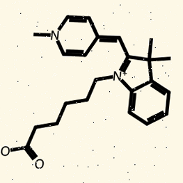 CN1C=CC(=CC2=[N+](CCCCCC(=O)O)c3ccccc3C2(C)C)C=C1